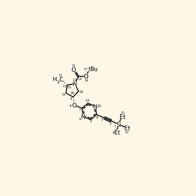 CC[Si](C#Cc1cnc(O[C@@H]2C[C@H](C)N(C(=O)OC(C)(C)C)C2)cn1)(CC)CC